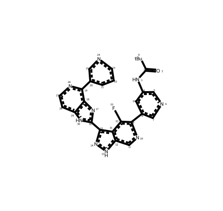 CC(C)(C)C(=O)Nc1cncc(-c2ncc3[nH]nc(-c4nc5c(-c6cccnc6)nccc5[nH]4)c3c2F)c1